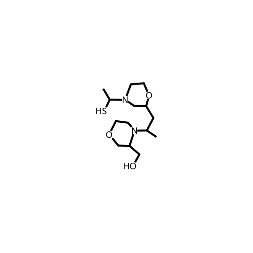 CC(S)N1CCOC(CC(C)N2CCOCC2CO)C1